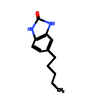 CCCCCc1ccc2[nH]c(=O)[nH]c2c1